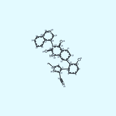 Cn1cc(-c2cccc(Cl)c2-c2ccc3c(=O)n(-c4cncc5ccccc45)c(=O)[nH]c3c2)c(C#N)n1